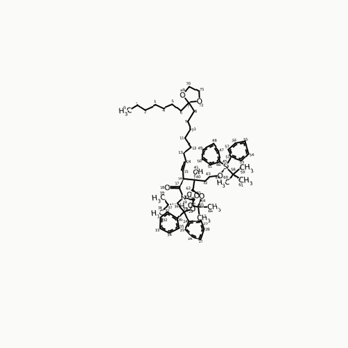 CCCCCCCC1(CCCCCC/C=C/[C@H](C(=O)N2C(=O)OC(c3ccccc3)(c3ccccc3)[C@@H]2C(C)C)[C@@](O)(CCO[Si](c2ccccc2)(c2ccccc2)C(C)(C)C)C(=O)OC(C)(C)C)OCCO1